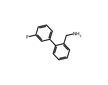 NCc1ccccc1-c1cccc(F)c1